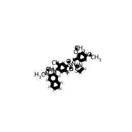 COc1ccc(CN(c2nccs2)S(=O)(=O)c2cc(Cl)c(N[C@H]3Cc4ccccc4CC3N(C)C)cc2F)c(OC)c1